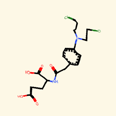 O=C(O)CCC(NC(=O)Cc1ccc(N(CCCl)CCCl)cc1)C(=O)O